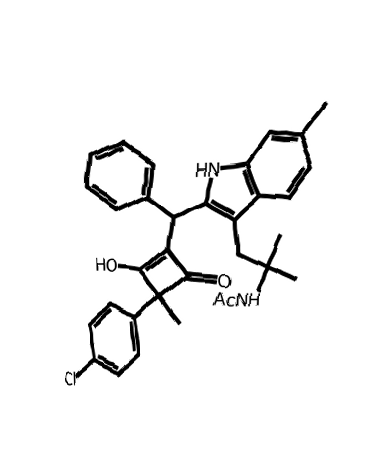 CC(=O)NC(C)(C)Cc1c(C(C2=C(O)C(C)(c3ccc(Cl)cc3)C2=O)c2ccccc2)[nH]c2cc(C)ccc12